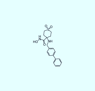 O=C(NO)C1(NCc2ccc(-c3ccccc3)cc2)CCS(=O)(=O)CC1